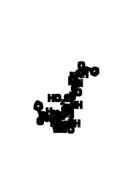 CC(C)(C)OC(=O)NCCN(CC(=O)NCCN(CC(=O)O)C(=O)Cn1cnc2c(NCC(=O)OCc3ccccc3)ncnc21)C(=O)Cn1cnc2c(NCC(=O)OCc3ccccc3)ncnc21